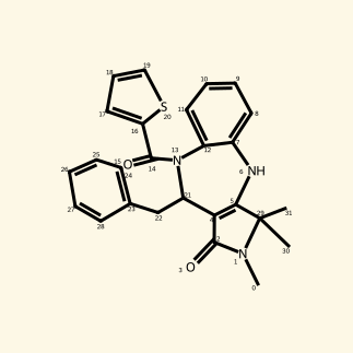 CN1C(=O)C2=C(Nc3ccccc3N(C(=O)c3cccs3)C2Cc2ccccc2)C1(C)C